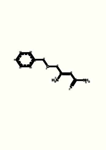 NC(=S)/C=C(\N)COCc1ccccc1